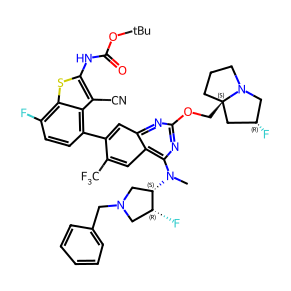 CN(c1nc(OC[C@@]23CCCN2C[C@H](F)C3)nc2cc(-c3ccc(F)c4sc(NC(=O)OC(C)(C)C)c(C#N)c34)c(C(F)(F)F)cc12)[C@H]1CN(Cc2ccccc2)C[C@H]1F